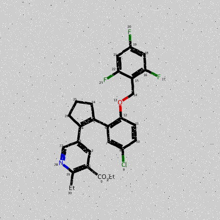 CCOC(=O)c1cc(C2=C(c3cc(Cl)ccc3OCc3c(F)cc(F)cc3F)CCC2)cnc1CC